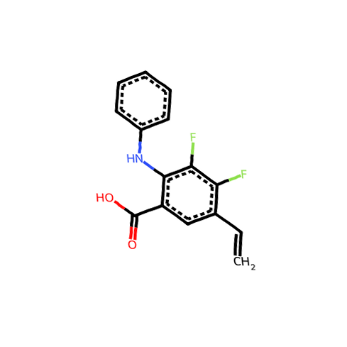 C=Cc1cc(C(=O)O)c(Nc2ccccc2)c(F)c1F